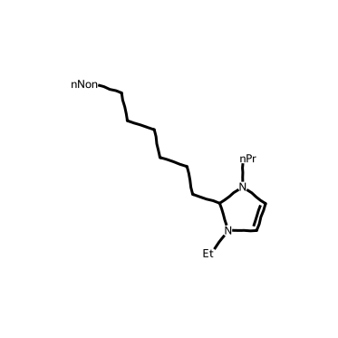 CCCCCCCCCCCCCCCC1N(CC)C=CN1CCC